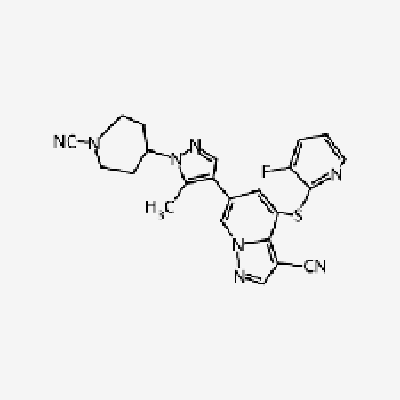 Cc1c(-c2cc(Sc3ncccc3F)c3c(C#N)cnn3c2)cnn1C1CCN(C#N)CC1